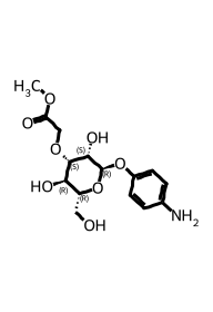 COC(=O)CO[C@@H]1[C@H](O)[C@@H](Oc2ccc(N)cc2)O[C@H](CO)[C@H]1O